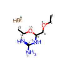 Br.CCOCC(NC(=N)N)OCC